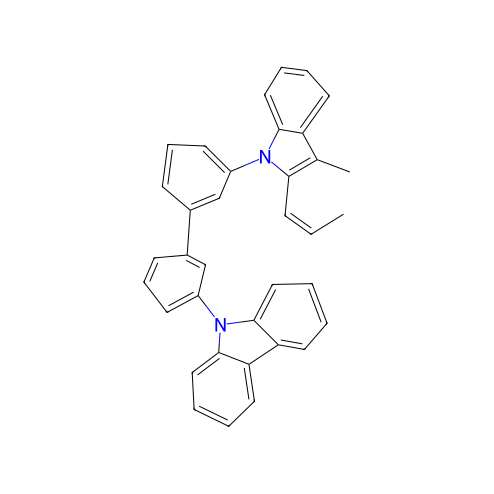 C/C=C\c1c(C)c2ccccc2n1-c1cccc(-c2cccc(-n3c4ccccc4c4ccccc43)c2)c1